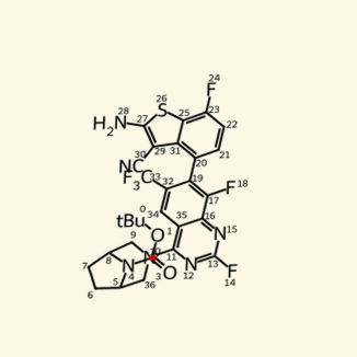 CC(C)(C)OC(=O)N1C2CCC1CN(c1nc(F)nc3c(F)c(-c4ccc(F)c5sc(N)c(C#N)c45)c(C(F)(F)F)cc13)C2